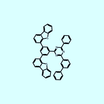 c1ccc(-c2cccc(-c3nc(-c4ccccc4)nc(-c4cc(-c5cccc6c5sc5ccccc56)cc(-c5cccc6c5sc5ccccc56)c4)n3)c2)cc1